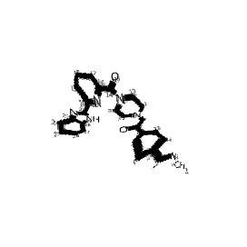 C/N=C/c1ccc(C(=O)CN2CCN(C(=O)c3cccc(-c4nc5ccccc5[nH]4)n3)CC2)cc1